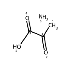 CC(=O)C(=O)O.N